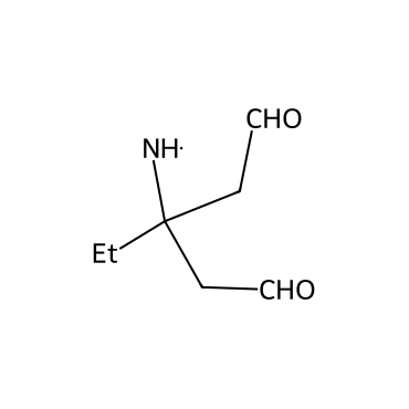 CCC([NH])(CC=O)CC=O